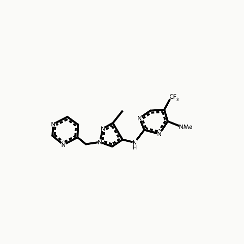 CNc1nc(Nc2cn(Cc3ccncn3)nc2C)ncc1C(F)(F)F